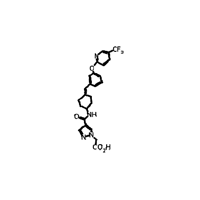 O=C(O)Cn1cc(C(=O)NC2CCC(=Cc3cccc(Oc4ccc(C(F)(F)F)cn4)c3)CC2)cn1